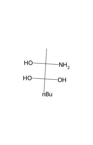 CCCCC(O)(O)C(C)(N)O